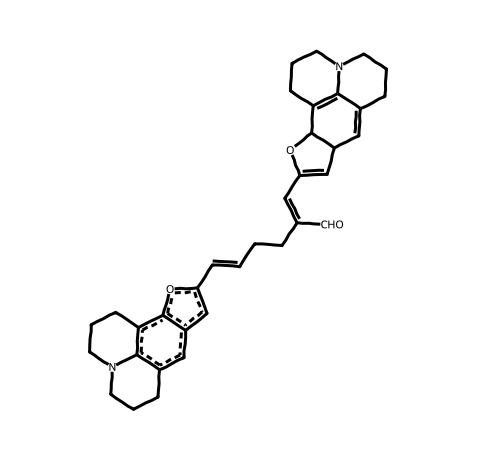 O=C/C(=C\C1=CC2C=C3CCCN4CCCC(=C34)C2O1)CC/C=C/c1cc2cc3c4c(c2o1)CCCN4CCC3